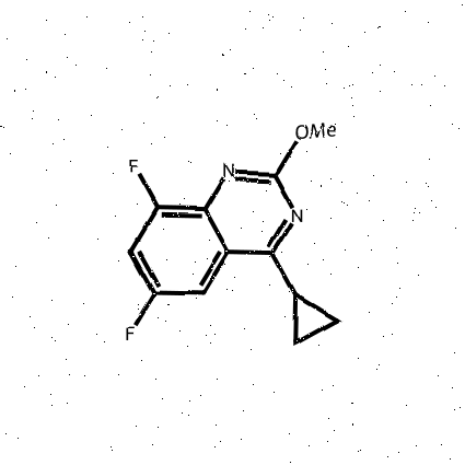 COc1nc(C2CC2)c2cc(F)cc(F)c2n1